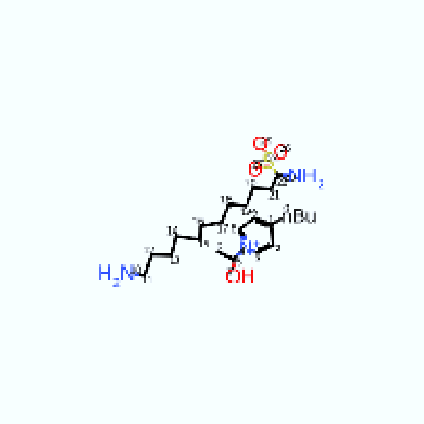 CCCCc1cc[n+](C(C)O)cc1.NCCCCCCCCCCCC(N)S(=O)(=O)[O-]